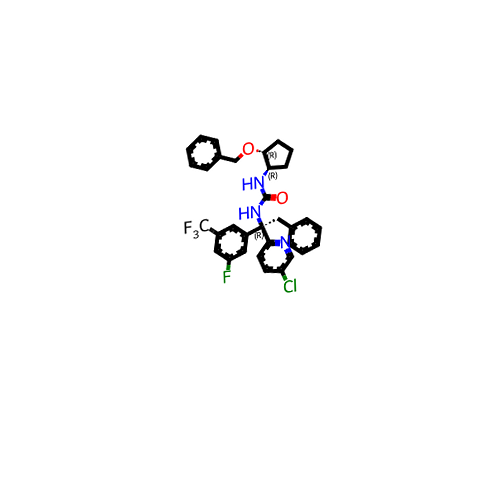 O=C(N[C@@H]1CCC[C@H]1OCc1ccccc1)N[C@](Cc1ccccc1)(c1cc(F)cc(C(F)(F)F)c1)c1ccc(Cl)cn1